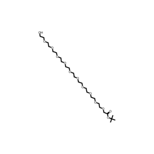 CC(C)(C)OC(=O)COCCOCCOCCOCCOCCOCCOCCOCCOCCOCCO